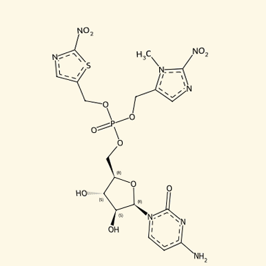 Cn1c(COP(=O)(OCc2cnc([N+](=O)[O-])s2)OC[C@H]2O[C@@H](n3ccc(N)nc3=O)[C@@H](O)[C@@H]2O)cnc1[N+](=O)[O-]